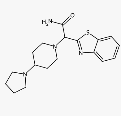 NC(=O)C(c1nc2ccccc2s1)N1CCC(N2CCCC2)CC1